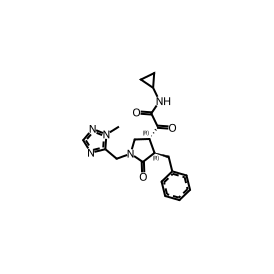 Cn1ncnc1CN1C[C@H](C(=O)C(=O)NC2CC2)[C@@H](Cc2ccccc2)C1=O